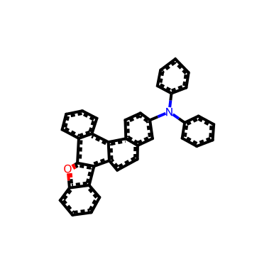 c1ccc(N(c2ccccc2)c2ccc3c(ccc4c3c3ccccc3c3oc5ccccc5c43)c2)cc1